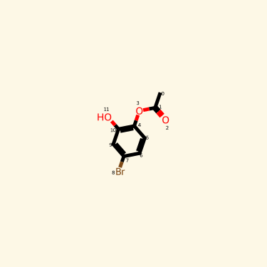 CC(=O)Oc1ccc(Br)cc1O